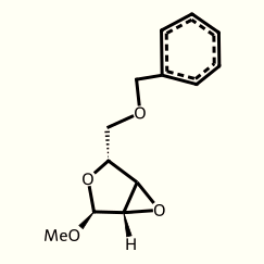 CO[C@H]1O[C@H](COCc2ccccc2)C2O[C@@H]21